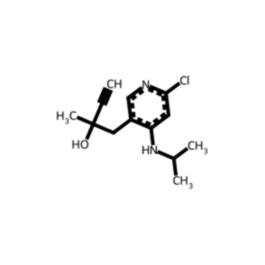 C#CC(C)(O)Cc1cnc(Cl)cc1NC(C)C